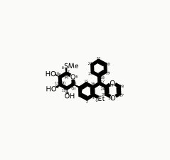 CCc1ccc([C@@H]2O[C@H](SC)[C@@H](O)[C@H](O)[C@H]2O)cc1C(C1=CC=CCC1)C1=COC=CO1